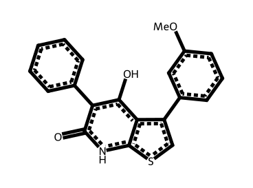 COc1cccc(-c2csc3[nH]c(=O)c(-c4ccccc4)c(O)c23)c1